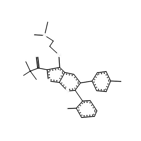 CN(C)CCNc1c(C(=O)C(C)(C)C)oc2nc(-c3ccccc3Cl)c(-c3ccc(Cl)cc3)cc12